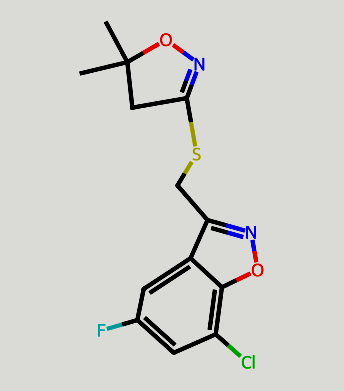 CC1(C)CC(SCc2noc3c(Cl)cc(F)cc23)=NO1